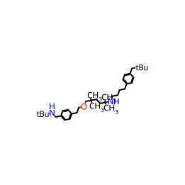 CC(C)(C)Cc1ccc(CCCCNC(C)(C)CCC(C)(C)COCCc2ccc(CNC(C)(C)C)cc2)cc1